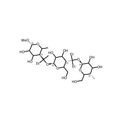 CCC(C)(O[C@@H]1OC(CO)[C@@H](C(CC)(CC)O[C@@H]2OC(CO)[C@@H](C)C(O)C2O)C(O)C1O)[C@@H]1C(C)O[C@@H](OC)C(O)C1O